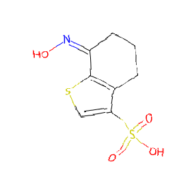 O=S(=O)(O)c1csc2c1CCC/C2=N/O